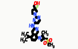 CC(C)c1ccc(N2C[C@H](CS(C)(=O)=O)[C@H]2C)c2cnc(Nc3ccnc(N4CC[C@@](F)(CO)C4)n3)cc12